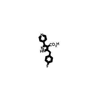 O=C(O)c1c(-c2ccncc2)n[nH]c1Cc1ccc(F)cc1